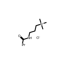 CC(C)C(=O)NCCC[N+](C)(C)C.[Cl-]